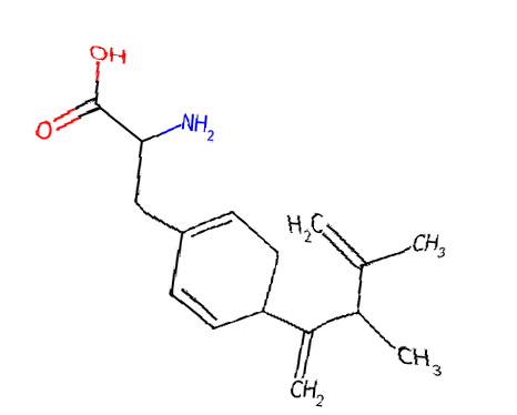 C=C(C)C(C)C(=C)C1C=CC(CC(N)C(=O)O)=CC1